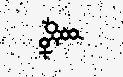 NS(=O)(=O)c1cccc(NC(=O)c2cc3cc(Cl)ccc3nc2N2CCCC(F)(F)CC2)c1